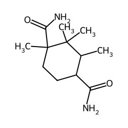 CC1C(C(N)=O)CCC(C)(C(N)=O)C1(C)C